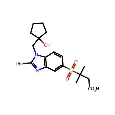 CC(C)(C)c1nc2cc(S(=O)(=O)C(C)(C)CC(=O)O)ccc2n1CC1(O)CCCC1